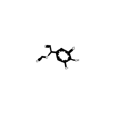 O=[C]C(OC=O)c1cc(Cl)c(O)c(Cl)c1